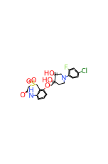 O=C1CS(=O)(=O)Cc2c(cccc2OC[C@]2(O)CCN(c3ccc(Cl)cc3F)C[C@H]2O)N1